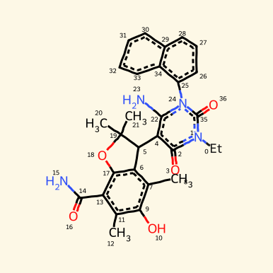 CCn1c(=O)c(C2c3c(C)c(O)c(C)c(C(N)=O)c3OC2(C)C)c(N)n(-c2cccc3ccccc23)c1=O